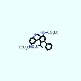 CCOC(=O)Nc1ccc2ncc3c(NC(=O)OCC)cc(-c4ccccc4)c(C(C)C(=O)O)c3c2c1